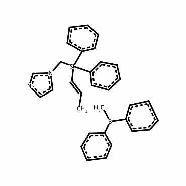 CB(c1ccccc1)c1ccccc1.CC=C[Si](Cn1ccnc1)(c1ccccc1)c1ccccc1